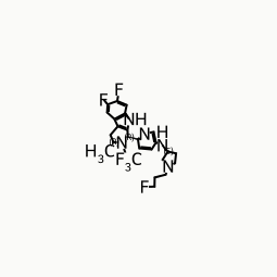 C[C@@H]1Cc2c([nH]c3cc(F)c(F)cc23)[C@@H](c2ccc(N[C@H]3CCN(CCCF)C3)cn2)N1CC(F)(F)F